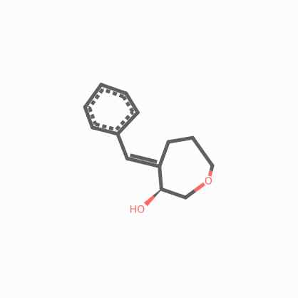 O[C@@H]1COCCC/C1=C\c1ccccc1